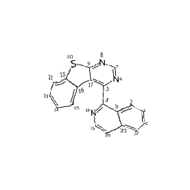 c1ccc2c(-c3ncnc4sc5ccccc5c34)nccc2c1